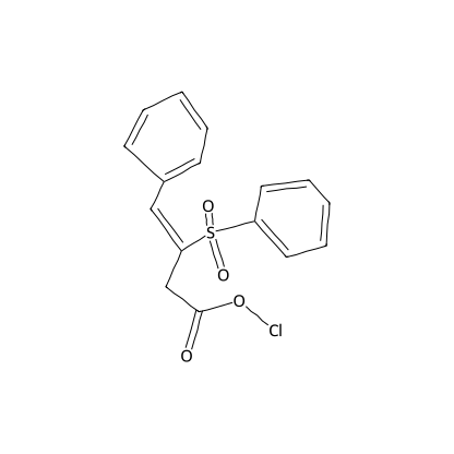 O=C(C/C(=C/c1ccccc1)S(=O)(=O)c1ccccc1)OCl